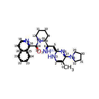 CC1=CN/C(=C\C(=N)[C@@H]2CCCCN2C(=O)c2nccc3ccccc23)N=C1N1CCCC1